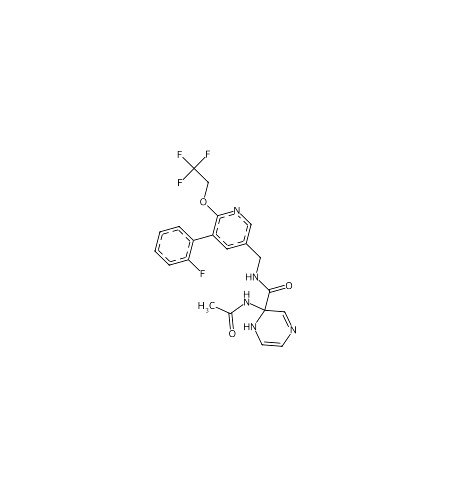 CC(=O)NC1(C(=O)NCc2cnc(OCC(F)(F)F)c(-c3ccccc3F)c2)C=NC=CN1